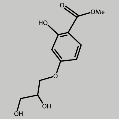 COC(=O)c1ccc(OCC(O)CO)cc1O